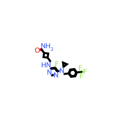 NC(=O)C1CC(CNc2ncnc(N(Cc3ccc(C(F)(F)F)cc3)C3CC3)c2F)C1